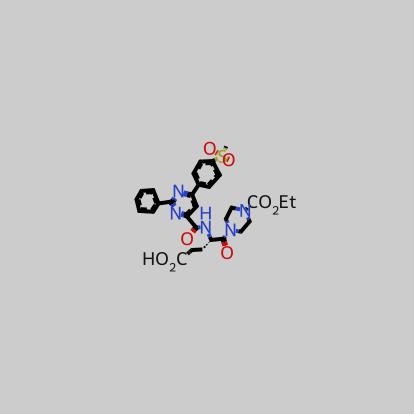 CCOC(=O)N1CCN(C(=O)[C@H](CCC(=O)O)NC(=O)c2cc(-c3ccc(S(C)(=O)=O)cc3)nc(-c3ccccc3)n2)CC1